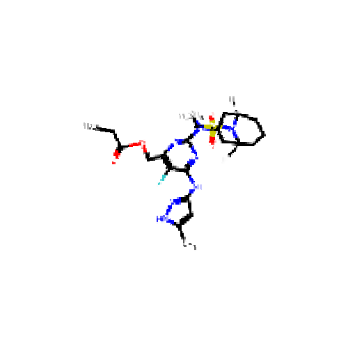 CCC(=O)OCc1nc(N(C)C2C[C@H]3CCC[C@H](C2)N3S(=O)(=O)CC)nc(Nc2cc(C)[nH]n2)c1F